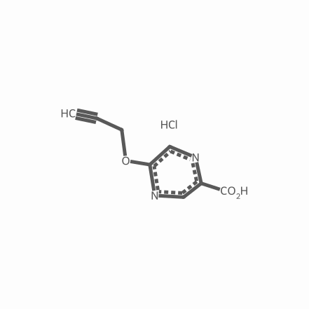 C#CCOc1cnc(C(=O)O)cn1.Cl